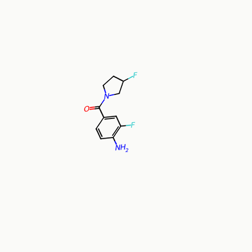 Nc1ccc(C(=O)N2CCC(F)C2)cc1F